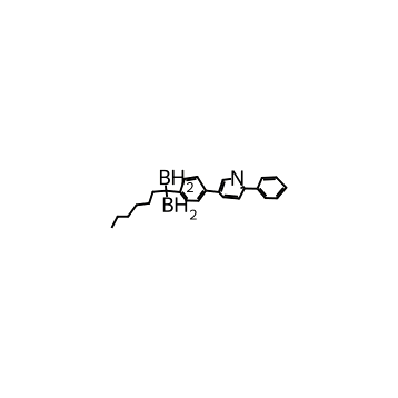 BC(B)(CCCCCC)c1ccc(-c2ccc(-c3ccccc3)nc2)cc1